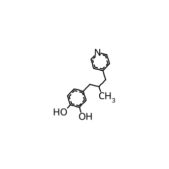 CC(Cc1ccncc1)Cc1ccc(O)c(O)c1